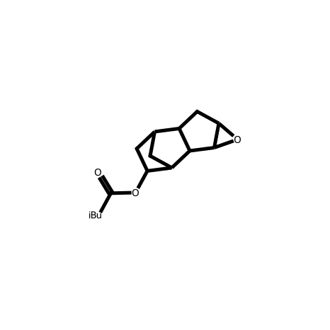 CCC(C)C(=O)OC1CC2CC1C1C2CC2OC21